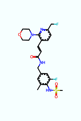 Cc1cc(CNC(=O)/C=C/c2ccc(CF)nc2N2CCOCC2)cc(F)c1NS(C)(=O)=O